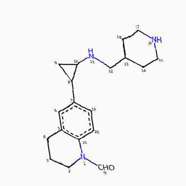 O=CN1CCCc2cc(C3CC3NCC3CCNCC3)ccc21